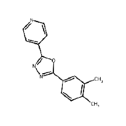 Cc1ccc(-c2nnc(-c3ccncc3)o2)cc1C